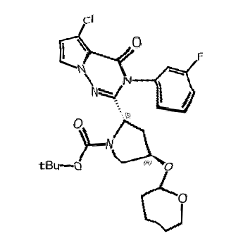 CC(C)(C)OC(=O)N1C[C@H](OC2CCCCO2)C[C@H]1c1nn2ccc(Cl)c2c(=O)n1-c1cccc(F)c1